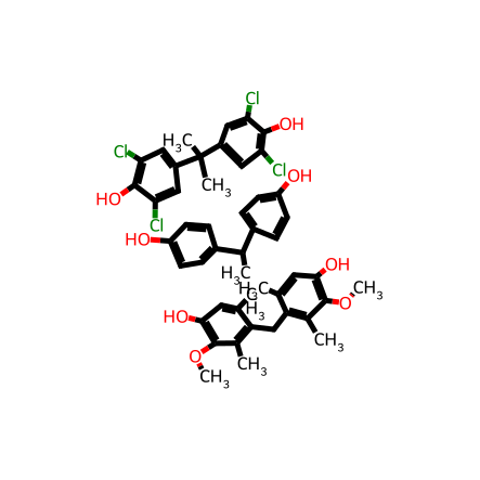 CC(C)(c1cc(Cl)c(O)c(Cl)c1)c1cc(Cl)c(O)c(Cl)c1.CC(c1ccc(O)cc1)c1ccc(O)cc1.COc1c(O)cc(C)c(Cc2c(C)cc(O)c(OC)c2C)c1C